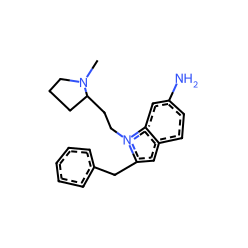 CN1CCCC1CCn1c(Cc2ccccc2)cc2ccc(N)cc21